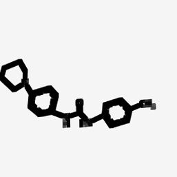 Cc1ccc(NC(=O)Nc2ccc(N3CCCCC3)cc2)cc1